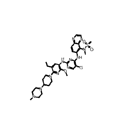 CCc1cc(Nc2ncc(Cl)c(Nc3ccc4nccnc4c3N(C)S(C)(=O)=O)n2)c(OC)nc1N1CCC(N2CCN(C)CC2)CC1